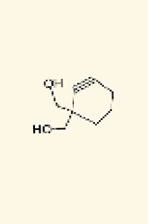 OCC1(CO)C#CCCC1